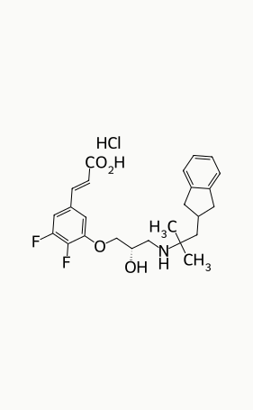 CC(C)(CC1Cc2ccccc2C1)NC[C@H](O)COc1cc(C=CC(=O)O)cc(F)c1F.Cl